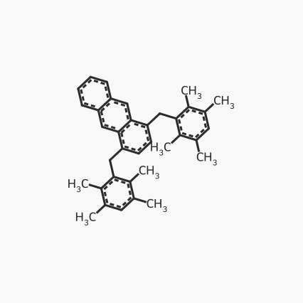 Cc1cc(C)c(C)c(Cc2ccc(Cc3c(C)c(C)cc(C)c3C)c3cc4ccccc4cc23)c1C